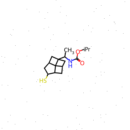 CC(C)OC(=O)NC(C)C12CC3CC(S)C4CC(C1)C342